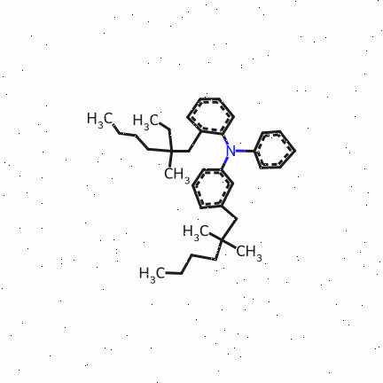 CCCCC(C)(C)Cc1cccc(N(c2ccccc2)c2ccccc2CC(C)(CC)CCCC)c1